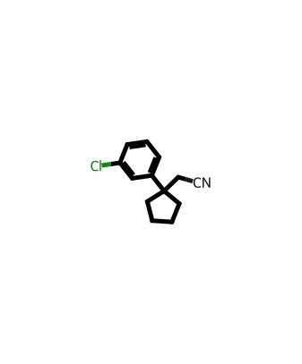 N#CCC1(c2cccc(Cl)c2)CCCC1